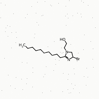 CCCCCCCCCCC1=NC(Br)CN1CCO